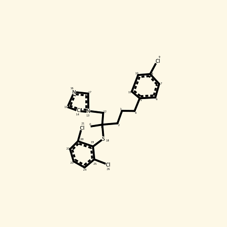 CC(CCCc1ccc(Cl)cc1)(Cn1ccnc1)Sc1c(Cl)cccc1Cl